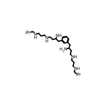 CC(C)CNCCCNCCC(N)Cc1cccc(CC(N)CCNCCCNCC(C)C)c1